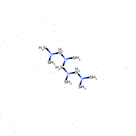 [SiH3]N([SiH3])[SiH2]N([SiH3])[SiH2]N([SiH3])[SiH2]N([SiH3])[SiH3]